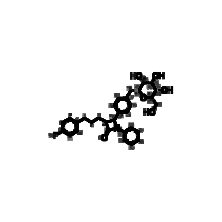 O=C1C(CCCc2ccc(F)cc2)C(c2ccc(C[C@H]3O[C@H](CO)[C@@H](O)[C@H](O)[C@H]3O)cc2)N1c1ccccc1